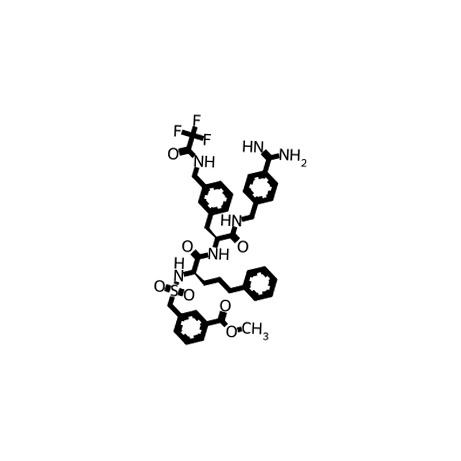 COC(=O)c1cccc(CS(=O)(=O)N[C@H](CCCc2ccccc2)C(=O)N[C@@H](Cc2cccc(CNC(=O)C(F)(F)F)c2)C(=O)NCc2ccc(C(=N)N)cc2)c1